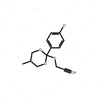 C#CCOC1(c2ccc(Cl)cc2)OCC(I)CO1